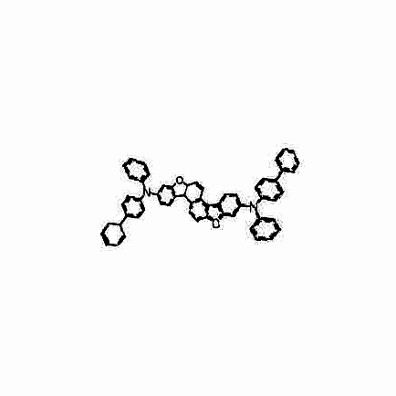 C1=CCC(c2ccc(N(c3ccccc3)c3ccc4c(c3)OC3C=Cc5c(ccc6oc7cc(N(c8ccccc8)c8ccc(-c9ccccc9)cc8)ccc7c56)C43)cc2)C=C1